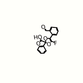 O=Cc1ccccc1C1=C(F)OC(C(=O)O)(c2ccccc2)O1